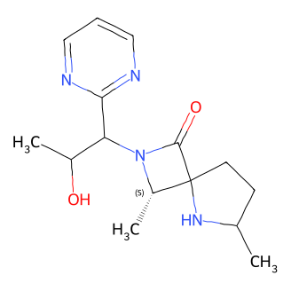 CC1CCC2(N1)C(=O)N(C(c1ncccn1)C(C)O)[C@H]2C